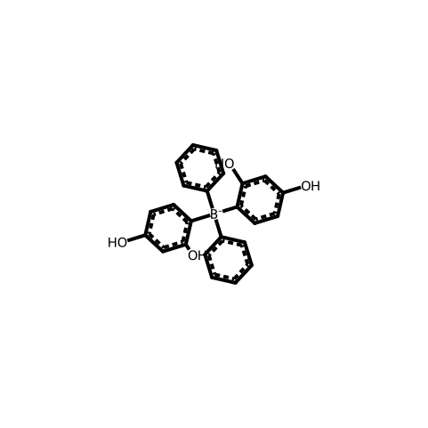 Oc1ccc([B-](c2ccccc2)(c2ccccc2)c2ccc(O)cc2O)c(O)c1